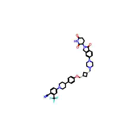 N#Cc1ccc(N2CCC(c3ccc(OC[C@H]4C[C@@H](CN5CCN(c6ccc7c(c6)CN(C6CCC(=O)NC6=O)C7=O)CC5)C4)cc3)CC2)cc1C(F)(F)F